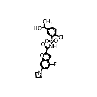 CC(O)c1ccc(Cl)c(S(=O)(=O)NC(=O)c2cc3c(F)cc(N4CCC4)cc3o2)c1